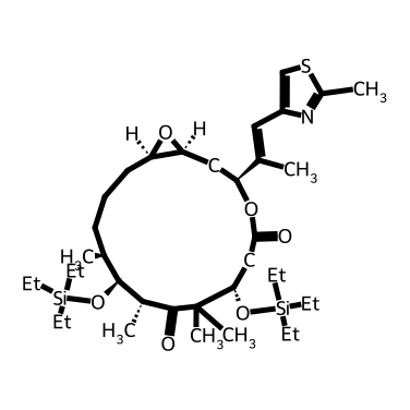 CC[Si](CC)(CC)O[C@H]1[C@@H](C)CCC[C@H]2O[C@H]2C[C@@H](C(C)=Cc2csc(C)n2)OC(=O)C[C@H](O[Si](CC)(CC)CC)C(C)(C)C(=O)[C@@H]1C